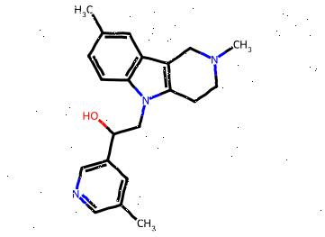 Cc1cncc(C(O)Cn2c3c(c4cc(C)ccc42)CN(C)CC3)c1